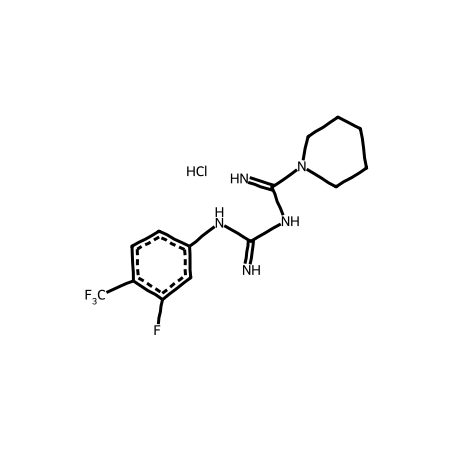 Cl.N=C(NC(=N)N1CCCCC1)Nc1ccc(C(F)(F)F)c(F)c1